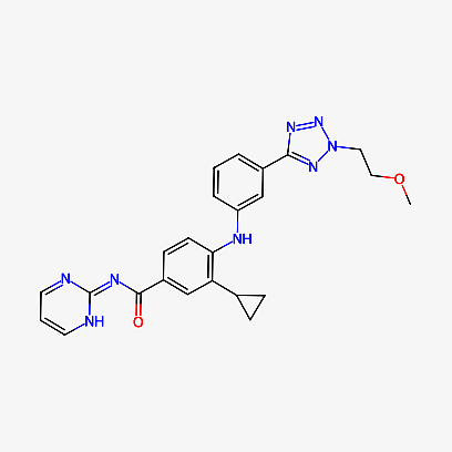 COCCn1nnc(-c2cccc(Nc3ccc(C(=O)N=c4nccc[nH]4)cc3C3CC3)c2)n1